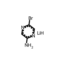 Nc1cnc(Br)cn1.[LiH]